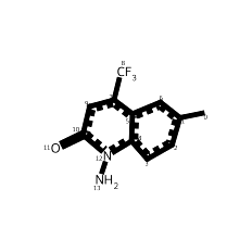 Cc1ccc2c(c1)c(C(F)(F)F)cc(=O)n2N